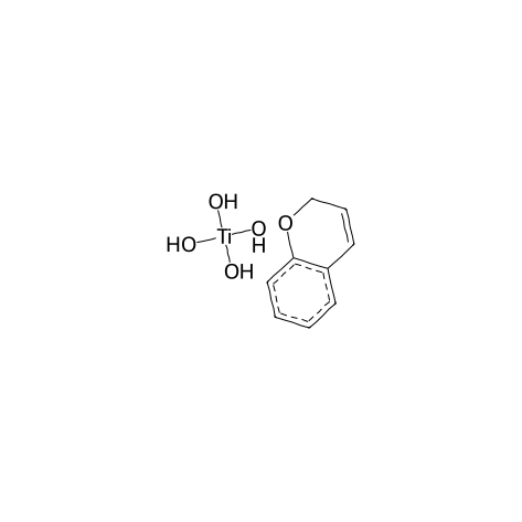 C1=Cc2ccccc2OC1.[OH][Ti]([OH])([OH])[OH]